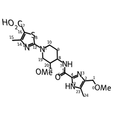 COCc1nc(C(=O)NC2CCN(c3nc(C)c(C(=O)O)s3)CC2OC)[nH]c1C